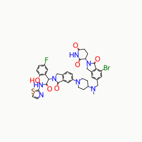 CN(Cc1cc(Br)c2c(c1)CN(C1CCC(=O)NC1=O)C2=O)C1CCN(c2ccc3c(c2)C(=O)N(C(C(=O)Nc2nccs2)c2cc(F)ccc2O)C3)CC1